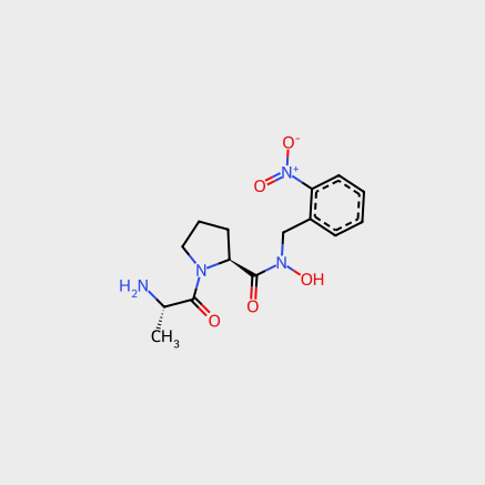 C[C@H](N)C(=O)N1CCC[C@H]1C(=O)N(O)Cc1ccccc1[N+](=O)[O-]